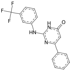 O=c1cc(-c2ccccc2)nc(Nc2cccc(C(F)(F)F)c2)[nH]1